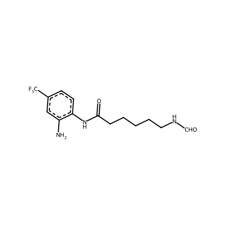 Nc1cc(C(F)(F)F)ccc1NC(=O)CCCCCNC=O